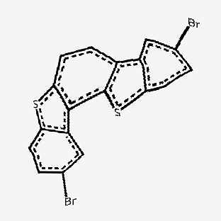 Brc1ccc2sc3c(ccc4sc5ccc(Br)cc5c43)c2c1